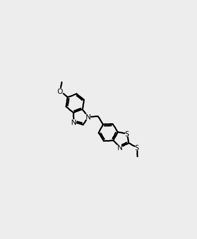 COc1ccc2c(c1)ncn2Cc1ccc2nc(SC)sc2c1